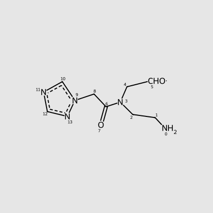 NCCN(C[C]=O)C(=O)Cn1cncn1